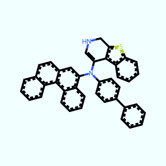 C1=C(N(c2ccc(-c3ccccc3)cc2)c2cc3ccc4ccccc4c3c3ccccc23)c2c(sc3ccccc23)CN1